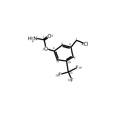 NC(=O)Oc1cc(CCl)cc(C(F)(F)F)c1